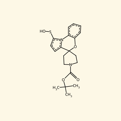 CC(C)(C)OC(=O)N1CCC2(CC1)Oc1ccccc1-n1c(SO)ccc12